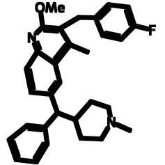 COc1nc2ccc(C(c3ccccc3)C3CCN(C)CC3)cc2c(C)c1Cc1ccc(F)cc1